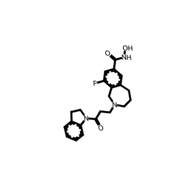 O=C(NO)c1cc(F)c2c(c1)CCCN(CCC(=O)N1CCc3ccccc31)C2